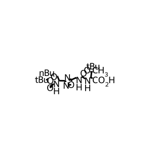 CCCCOCC(NC(=O)OC(C)(C)C)c1noc(CNC(=O)NC(C(=O)O)C(C)OC(C)(C)C)n1